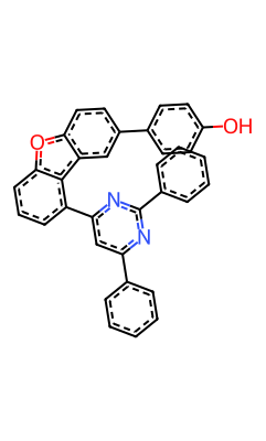 Oc1ccc(-c2ccc3oc4cccc(-c5cc(-c6ccccc6)nc(-c6ccccc6)n5)c4c3c2)cc1